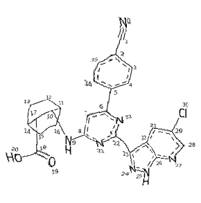 N#Cc1ccc(-c2cc(NC3C4CCC(CC4)C3C(=O)O)nc(-c3n[nH]c4ncc(Cl)cc34)n2)cc1